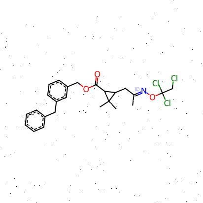 C/C(CC1C(C(=O)OCc2cccc(Cc3ccccc3)c2)C1(C)C)=N\OC(Cl)(Cl)CCl